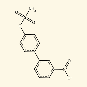 NS(=O)(=O)Oc1ccc(-c2cccc([N+](=O)[O-])c2)cc1